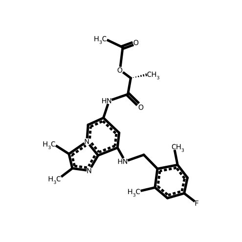 CC(=O)O[C@H](C)C(=O)Nc1cc(NCc2c(C)cc(F)cc2C)c2nc(C)c(C)n2c1